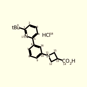 CC(C)(C)c1cccc(-c2cccc(N3CC(C(=O)O)C3)c2)n1.Cl